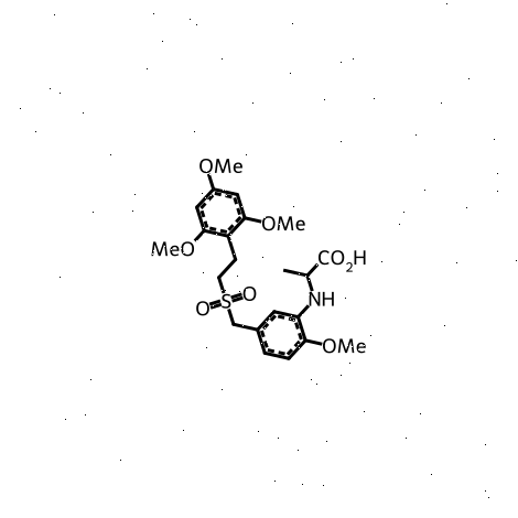 COc1cc(OC)c(CCS(=O)(=O)Cc2ccc(OC)c(NC(C)C(=O)O)c2)c(OC)c1